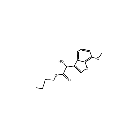 CCCCOC(=O)C(O)c1coc2c(OC)cccc12